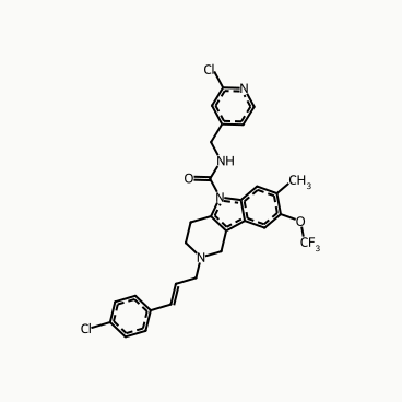 Cc1cc2c(cc1OC(F)(F)F)c1c(n2C(=O)NCc2ccnc(Cl)c2)CCN(CC=Cc2ccc(Cl)cc2)C1